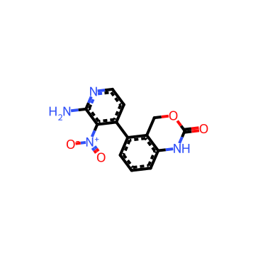 Nc1nccc(-c2cccc3c2COC(=O)N3)c1[N+](=O)[O-]